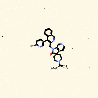 C=C(OC)N1CCC2(CC1)C(=O)N(Cc1ncc3ccccc3c1-c1ccc(C#N)nc1)c1cnccc12